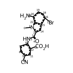 Cn1c(C(=O)Nc2ccc(C#N)cc2C(=O)O)cc2c(Br)ccc(N)c21